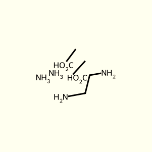 CC(=O)O.CC(=O)O.N.N.NCCN